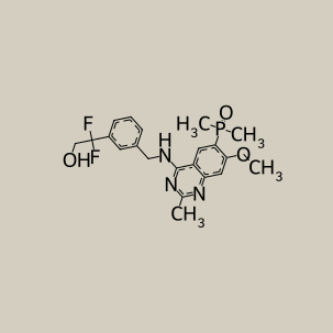 COc1cc2nc(C)nc(NCc3cccc(C(F)(F)CO)c3)c2cc1P(C)(C)=O